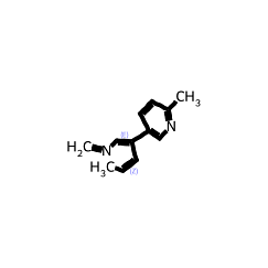 C=N/C=C(\C=C/C)c1ccc(C)nc1